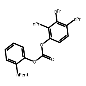 CCCCCc1ccccc1OC(=O)Oc1ccc(CCC)c(CCC)c1CCC